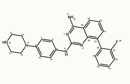 Nc1nc(Nc2ccc(N3CCNCC3)cc2)nc2c(-c3ccccc3F)cccc12